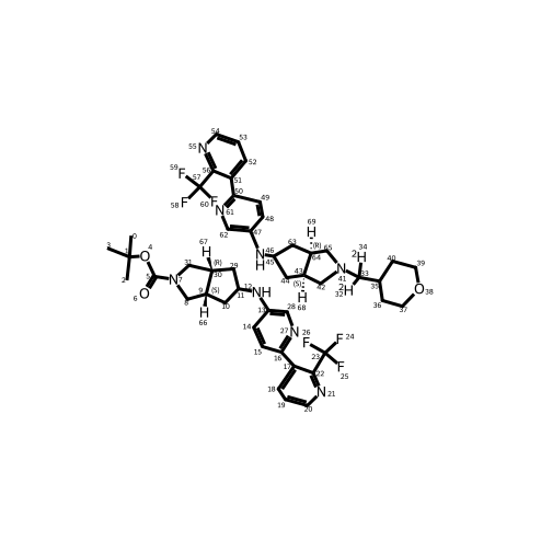 CC(C)(C)OC(=O)N1C[C@H]2CC(Nc3ccc(-c4cccnc4C(F)(F)F)nc3)C[C@H]2C1.[2H]C([2H])(C1CCOCC1)N1C[C@H]2CC(Nc3ccc(-c4cccnc4C(F)(F)F)nc3)C[C@H]2C1